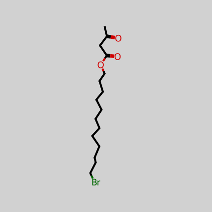 CC(=O)CC(=O)OCCCCCCCCCCCCBr